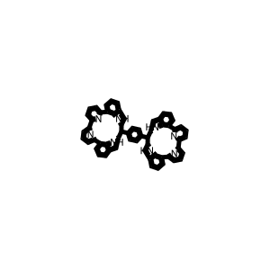 c1cc2nc(c1)-c1cccc3cc([nH]c13)C(c1ccc(C3c4cc5cccc(c5[nH]4)-c4cccc(n4)-c4cccc(n4)-c4cccc5cc3[nH]c45)cc1)c1cc3cccc(c3[nH]1)-c1cccc-2n1